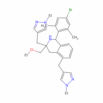 CCOCC1(Cc2cnn(CC)c2)Cc2c(Cc3cnn(CC)c3)cccc2C(c2c(C)cc(Br)cc2C)N1